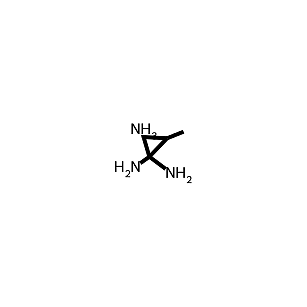 CC1CC1(N)N.N